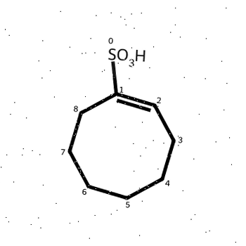 O=S(=O)(O)C1=CCCCCCC1